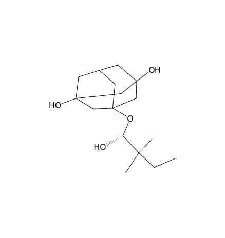 CCC(C)(C)[C@H](O)OC12CC3CC(O)(CC(O)(C3)C1)C2